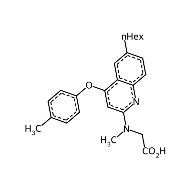 CCCCCCc1ccc2nc(N(C)CC(=O)O)cc(Oc3ccc(C)cc3)c2c1